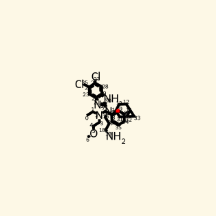 CCN(CCOC)CC1=CC([C@]23CC[C@@H](N(CCCN)c4nc5cc(Cl)c(Cl)cc5[nH]4)CC2C3)CC=C1